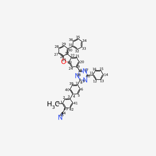 Cc1cc(-c2ccc(-c3nc(-c4ccccc4)nc(-c4ccc5c(c4)oc4cccc(-c6ccccc6)c45)n3)cc2)ccc1C#N